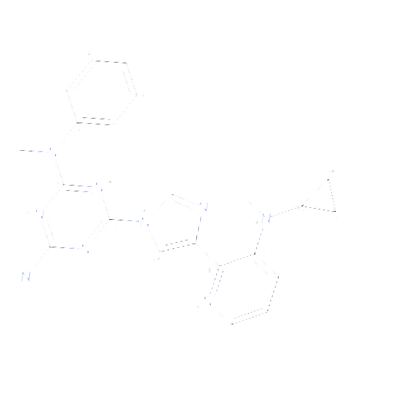 CN(c1ccccc1)c1nc(N)nc(-n2cnc(-c3ncccc3N(C)C3CC3)c2)n1